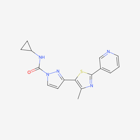 Cc1nc(-c2cccnc2)sc1-c1ccn(C(=O)NC2CC2)n1